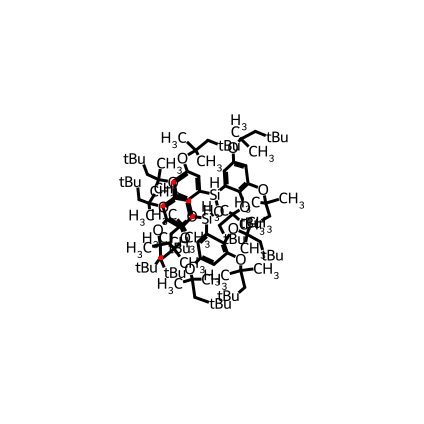 CC(C)(C)CC(C)(C)Oc1cc(OC(C)(C)CC(C)(C)C)c(OC(C)(C)CC(C)(C)C)c([SiH](O[SiH](c2cc(OC(C)(C)CC(C)(C)C)cc(OC(C)(C)CC(C)(C)C)c2OC(C)(C)CC(C)(C)C)c2cc(OC(C)(C)CC(C)(C)C)cc(OC(C)(C)CC(C)(C)C)c2OC(C)(C)CC(C)(C)C)c2cc(OC(C)(C)CC(C)(C)C)cc(OC(C)(C)CC(C)(C)C)c2OC(C)(C)CC(C)(C)C)c1